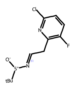 CC(C)(C)[S+]([O-])/N=C/Cc1nc(Cl)ccc1F